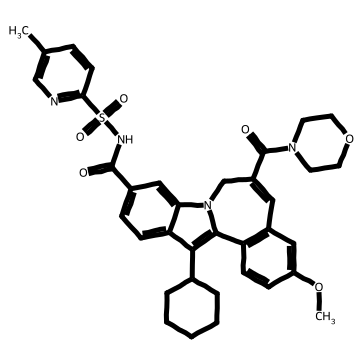 COc1ccc2c(c1)C=C(C(=O)N1CCOCC1)Cn1c-2c(C2CCCCC2)c2ccc(C(=O)NS(=O)(=O)c3ccc(C)cn3)cc21